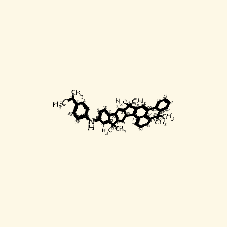 CC(C)c1ccc(Nc2ccc3c(c2)C(C)(C)c2cc4c(cc2-3)C(C)(C)c2cc3c5c(cccc5c2-4)C(C)(C)c2ccccc2-3)cc1